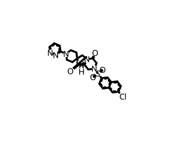 O=C1CN(S(=O)(=O)c2ccc3cc(Cl)ccc3c2)CC23CNC(=O)N2C2(CCN(c4cccnn4)CC2)CN13